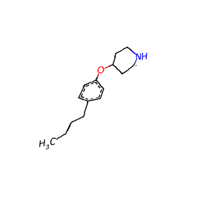 CCCCc1ccc(OC2C[CH]NCC2)cc1